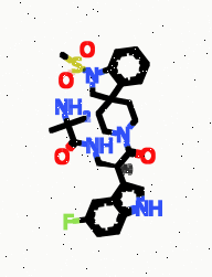 CC(C)(N)C(=O)NC[C@@H](C(=O)N1CCC2(CC1)CN(S(C)(=O)=O)c1ccccc12)c1c[nH]c2ccc(F)cc12